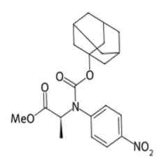 COC(=O)[C@H](C)N(C(=O)OC12CC3CC(CC(C3)C1)C2)c1ccc([N+](=O)[O-])cc1